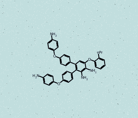 CCCc1ccccc1Oc1cc(-c2ccc(Oc3ccc(N)cc3)cc2)c(-c2ccc(Oc3ccc(N)cc3)cc2)c(N)c1N